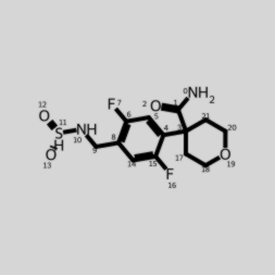 NC(=O)C1(c2cc(F)c(CN[SH](=O)=O)cc2F)CCOCC1